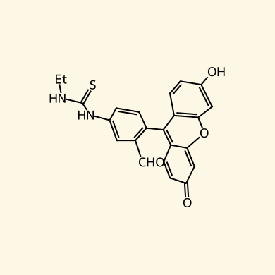 CCNC(=S)Nc1ccc(-c2c3ccc(=O)cc-3oc3cc(O)ccc23)c(C=O)c1